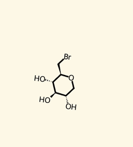 O[C@H]1[C@H](O)[C@@H](CBr)OC[C@@H]1O